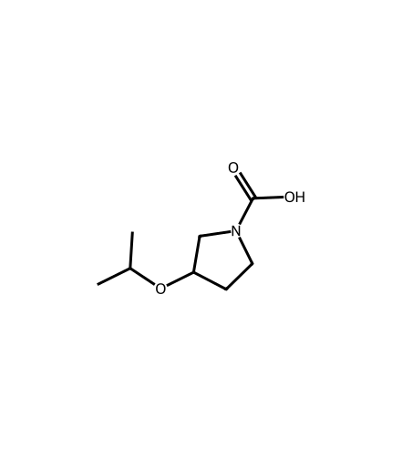 CC(C)OC1CCN(C(=O)O)C1